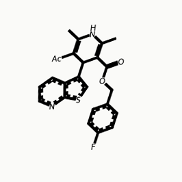 CC(=O)C1=C(C)NC(C)=C(C(=O)OCc2ccc(F)cc2)C1c1csc2ncccc12